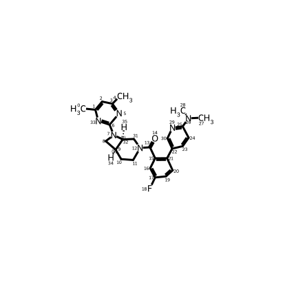 Cc1cc(C)nc(N2C[C@@H]3CCN(C(=O)c4cc(F)ccc4-c4ccc(N(C)C)nc4)C[C@@H]32)n1